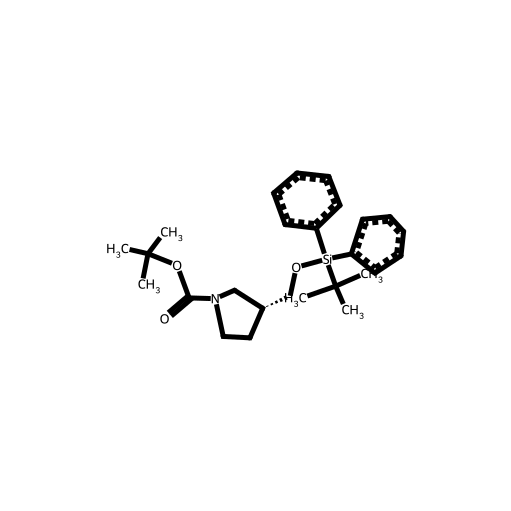 CC(C)(C)OC(=O)N1CC[C@@H](CO[Si](c2ccccc2)(c2ccccc2)C(C)(C)C)C1